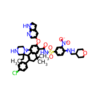 CCC1(C2=C(c3ccc(Cl)cc3)CC(C)(C)CC2)CNCCN1c1ccc(C(=O)NS(=O)(=O)c2ccc(NCC3CCOCC3)c([N+](=O)[O-])c2)c(Oc2cnc3[nH]ccc3c2)c1